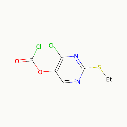 CCSc1ncc(OC(=O)Cl)c(Cl)n1